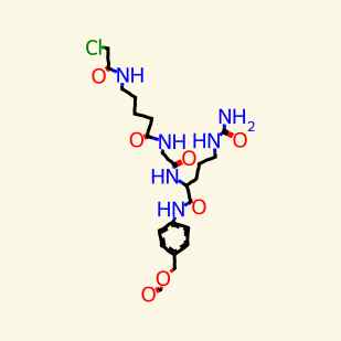 NC(=O)NCCCC(NC(=O)CNC(=O)CCCCNC(=O)CCl)C(=O)Nc1ccc(COC=O)cc1